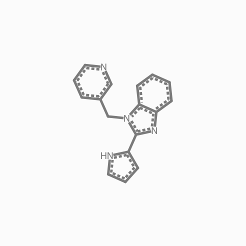 c1cncc(Cn2c(-c3ccc[nH]3)nc3ccccc32)c1